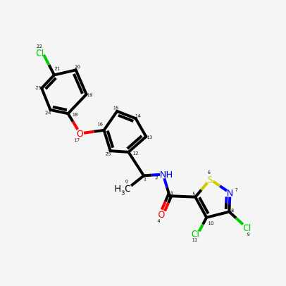 CC(NC(=O)c1snc(Cl)c1Cl)c1cccc(Oc2ccc(Cl)cc2)c1